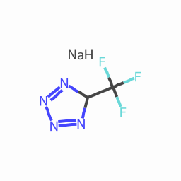 FC(F)(F)C1N=NN=N1.[NaH]